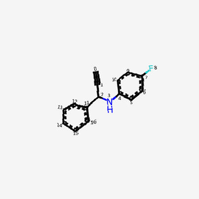 C#CC(Nc1ccc(F)cc1)c1ccccc1